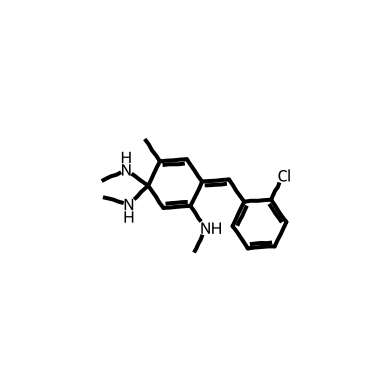 CNC1=CC(NC)(NC)C(C)=CC1=Cc1ccccc1Cl